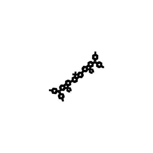 CCC1(CC)c2cc(-c3ccc4c(c3)C(C)(C)c3cc(-c5ccc6c(c5)C(CC)(CC)c5cc(N(c7ccc(C)cc7)c7ccc(C)cc7)ccc5-6)ccc3-4)ccc2-c2ccc(N(c3ccc(C)cc3)c3ccc(C)cc3)cc21